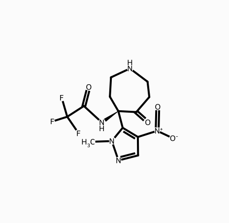 Cn1ncc([N+](=O)[O-])c1[C@]1(NC(=O)C(F)(F)F)CCNCCC1=O